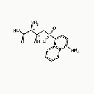 Nc1ccc(S(=O)(=O)C[C@@H](O)[C@H](N)C(=O)O)c2ccccc12